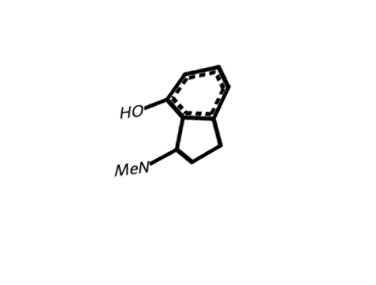 CNC1CCc2cccc(O)c21